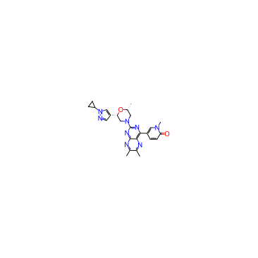 Cc1nc2nc(N3C[C@@H](C)O[C@@H](c4cnn(C5CC5)c4)C3)nc(-c3ccc(=O)n(C)c3)c2nc1C